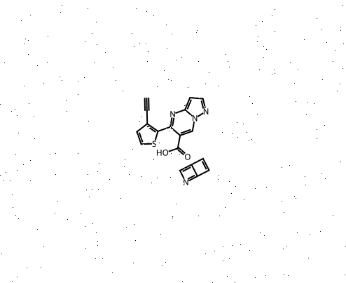 C#Cc1ccsc1-c1nc2ccnn2cc1C(=O)O.c1cc2ncc1-2